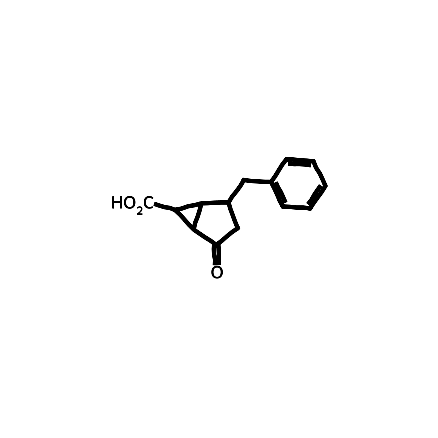 O=C(O)C1C2C(=O)CC(Cc3ccccc3)C12